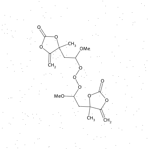 C=C1OC(=O)OC1(C)CC(OC)OOOC(CC1(C)OC(=O)OC1=C)OC